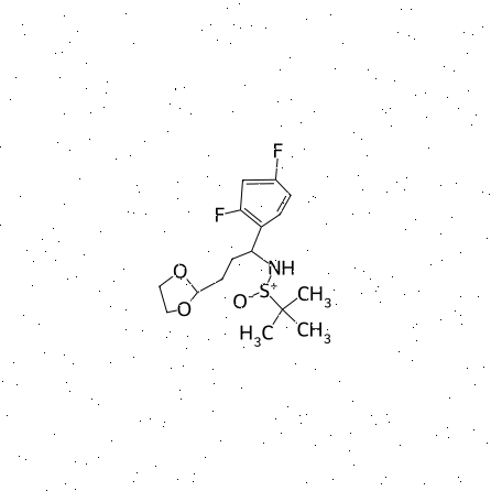 CC(C)(C)[S+]([O-])NC(CCC1OCCO1)c1ccc(F)cc1F